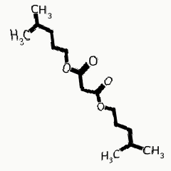 CC(C)CCCOC(=O)CC(=O)OCCCC(C)C